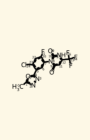 Cc1nnc(-c2cc(-n3c(=O)cc(C(F)(F)F)[nH]c3=O)c(F)cc2Cl)o1